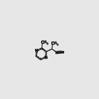 CNC(C)c1nccnc1C